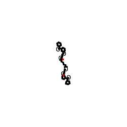 CC(C)(CCCCC(C)(C)OCCOc1cccc(C(=O)c2ccccc2)c1)OCCOc1cccc(C(=O)c2ccccc2)c1